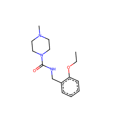 CCOc1ccccc1CNC(=O)N1CCN(C)CC1